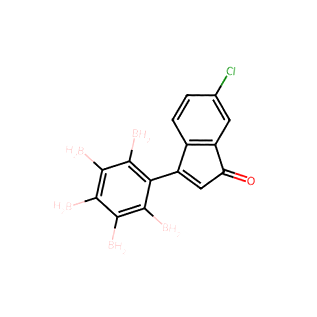 Bc1c(B)c(B)c(C2=CC(=O)c3cc(Cl)ccc32)c(B)c1B